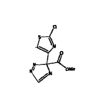 COC(=O)C1(c2[c]sc(Cl)n2)N=CN=N1